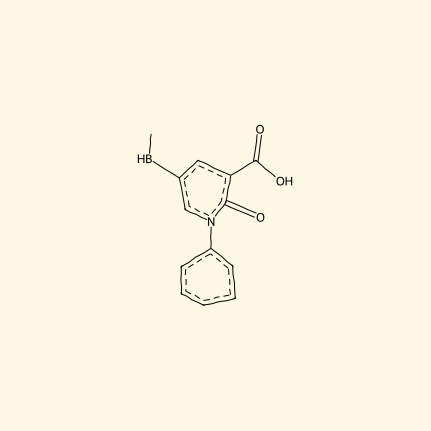 CBc1cc(C(=O)O)c(=O)n(-c2ccccc2)c1